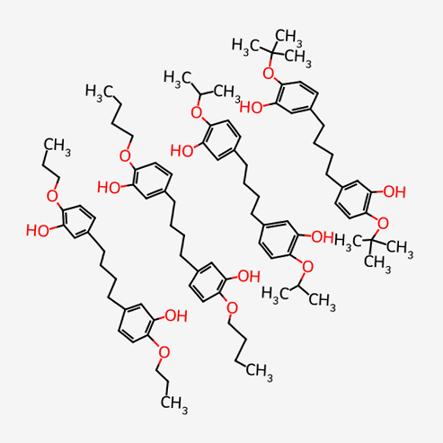 CC(C)(C)Oc1ccc(CCCCc2ccc(OC(C)(C)C)c(O)c2)cc1O.CC(C)Oc1ccc(CCCCc2ccc(OC(C)C)c(O)c2)cc1O.CCCCOc1ccc(CCCCc2ccc(OCCCC)c(O)c2)cc1O.CCCOc1ccc(CCCCc2ccc(OCCC)c(O)c2)cc1O